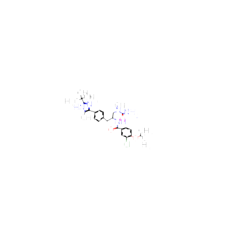 Cc1[nH]c(C(C)(C)C)nc1-c1ccc(CC(CN(C)C(N)=O)NC(=O)c2ccc(OC(C)C)c(Cl)c2)cc1